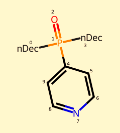 CCCCCCCCCCP(=O)(CCCCCCCCCC)c1ccncc1